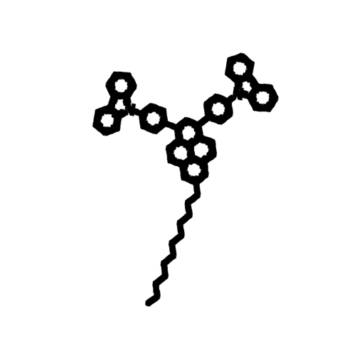 CCCCCCCCCCCCc1cc2ccc3c(-c4ccc(-n5c6ccccc6c6ccccc65)cc4)cc(-c4ccc(-n5c6ccccc6c6ccccc65)cc4)c4ccc(c1)c2c34